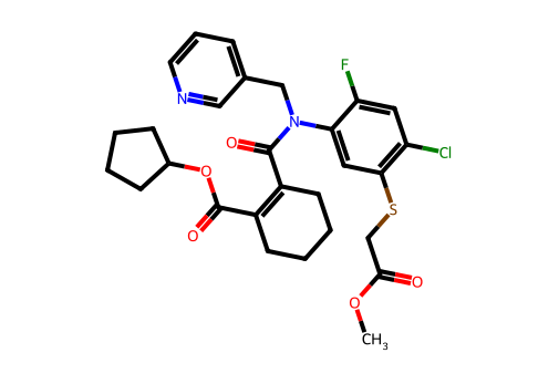 COC(=O)CSc1cc(N(Cc2cccnc2)C(=O)C2=C(C(=O)OC3CCCC3)CCCC2)c(F)cc1Cl